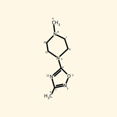 Cc1noc(N2CCN(C)CC2)n1